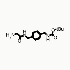 CC(C)(C)OC(=O)NCc1ccc(CNC(=O)CN)cc1